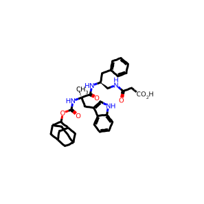 C[C@](Cc1c[nH]c2ccccc12)(NC(=O)OC1C2CC3CC(C2)CC1C3)C(=O)N[C@H](CNC(=O)CC(=O)O)Cc1ccccc1